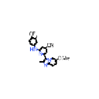 COc1ccc2nc(C)c(-c3cc(C#N)cc(Nc4ccc(C(F)(F)F)cc4)n3)n2c1